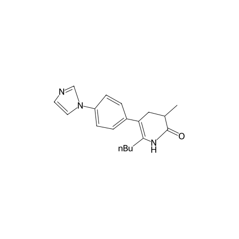 CCCCC1=C(c2ccc(-n3ccnc3)cc2)CC(C)C(=O)N1